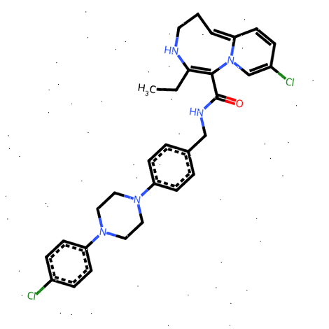 CC/C1=C(\C(=O)NCc2ccc(N3CCN(c4ccc(Cl)cc4)CC3)cc2)N2C=C(Cl)C=C/C2=C\CCN1